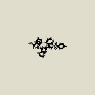 Cc1ccc(S(=O)(=O)n2cc(-c3nc(NC4C5CCC(CC5)C4C(=O)O)c4cccnc4n3)c3cc(F)cnc32)cc1